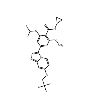 COc1cc(-c2cnc3cc(OCC(F)(F)F)ccn23)cc(OC(F)F)c1C(=O)NC1CC1